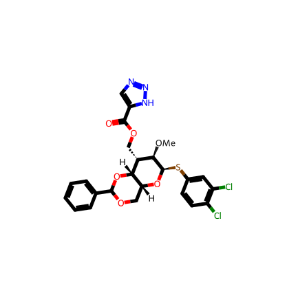 CO[C@@H]1[C@@H](COC(=O)c2cnn[nH]2)[C@H]2OC(c3ccccc3)OC[C@H]2O[C@@H]1Sc1ccc(Cl)c(Cl)c1